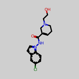 O=C(Nn1ccc2cc(Cl)ccc21)C1=CCCN(CCO)C1